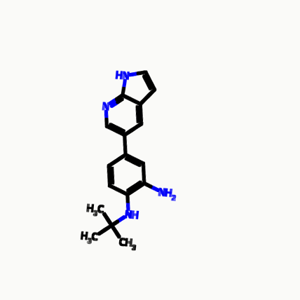 CC(C)(C)Nc1ccc(-c2cnc3[nH]ccc3c2)cc1N